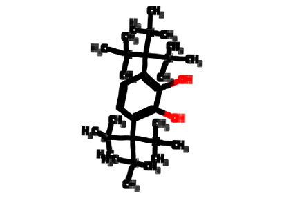 C[Si](C)(C)C(c1ccc(C([Si](C)(C)C)([Si](C)(C)C)[Si](C)(C)C)c(O)c1O)([Si](C)(C)C)[Si](C)(C)C